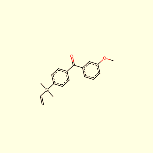 C=C[Si](C)(C)c1ccc(C(=O)c2cccc(OC)c2)cc1